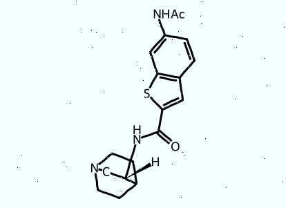 CC(=O)Nc1ccc2cc(C(=O)N[C@H]3CN4CCC3CC4)sc2c1